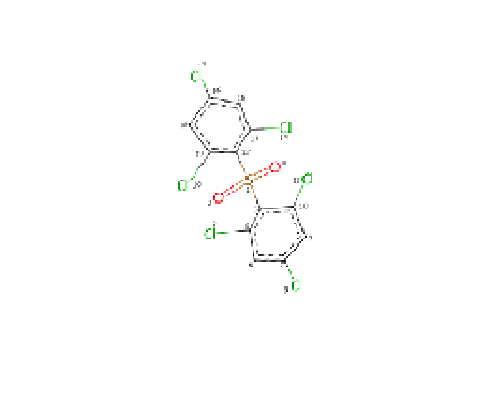 O=S(=O)(c1c(Cl)cc(Cl)cc1Cl)c1c(Cl)cc(Cl)cc1Cl